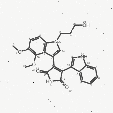 COc1ccc2c(c(C3=C(c4c[nH]c5ccccc45)C(=O)NC3=O)cn2CCCO)c1OC